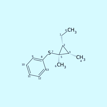 CC[C@@H]1[C@H](C)[C@@]1(C)Sc1ccccc1